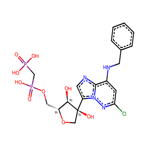 O=P(O)(O)CP(=O)(O)OC[C@H]1OC[C@@](O)(c2cnc3c(NCc4ccccc4)cc(Cl)nn23)[C@@H]1O